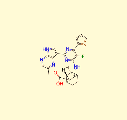 Cc1cnc2[nH]cc(-c3nc(N[C@H]4C5CCC(CC5)[C@@H]4C(=O)O)c(F)c(-c4cccs4)n3)c2n1